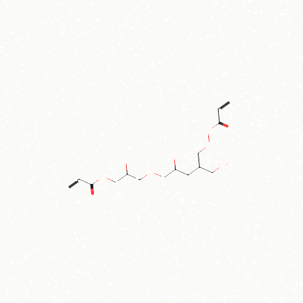 C=CC(=O)OCC(O)COCC(O)CC(CO)COOC(=O)C=C